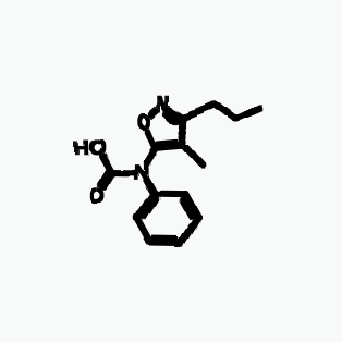 CCCc1noc(N(C(=O)O)c2ccccc2)c1C